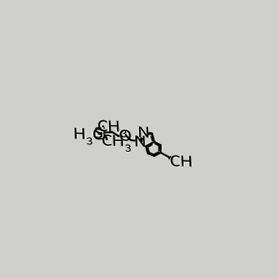 C#Cc1ccc2c(cnn2COCC[Si](C)(C)C)c1